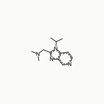 CC(C)n1c(CN(C)C)nc2cnccc21